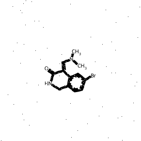 CN(C)/C=C1/C(=O)NCc2ccc(Br)cc21